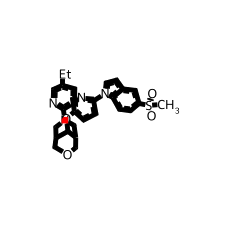 CCc1cnc(N2CC3COCC(C2)C3Oc2ccc(-n3ccc4cc(S(C)(=O)=O)ccc43)nc2)nc1